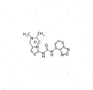 CC(C)N(C)Cc1csc(NC(=O)Nc2cccc3nonc23)n1